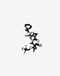 CC1=C(OCC(F)(F)F)C(C=N)(C(C)N2CC3(C(=N)N[C@@H]4CC45C=CC=CC5)C=CC3C2=O)C1